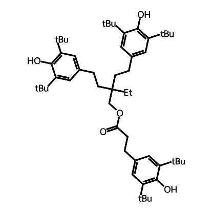 CCC(CCc1cc(C(C)(C)C)c(O)c(C(C)(C)C)c1)(CCc1cc(C(C)(C)C)c(O)c(C(C)(C)C)c1)COC(=O)CCc1cc(C(C)(C)C)c(O)c(C(C)(C)C)c1